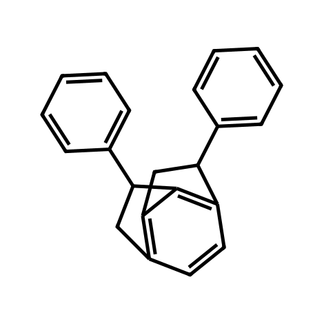 c1ccc(C2Cc3c4ccc2c3C(c2ccccc2)C4)cc1